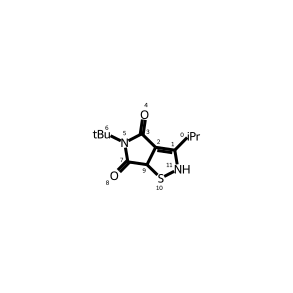 CC(C)C1=C2C(=O)N(C(C)(C)C)C(=O)C2SN1